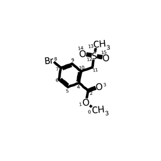 COC(=O)c1ccc(Br)cc1CS(C)(=O)=O